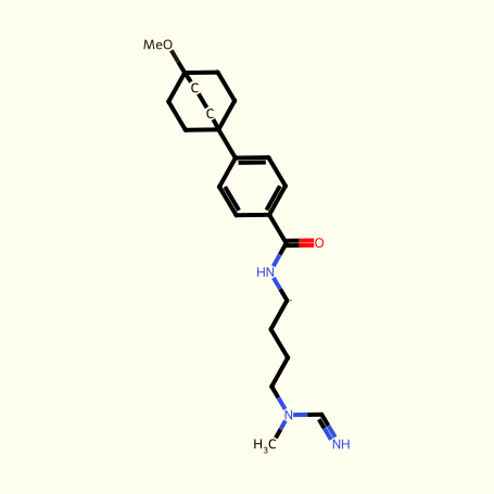 COC12CCC(c3ccc(C(=O)N[CH]CCCN(C)C=N)cc3)(CC1)CC2